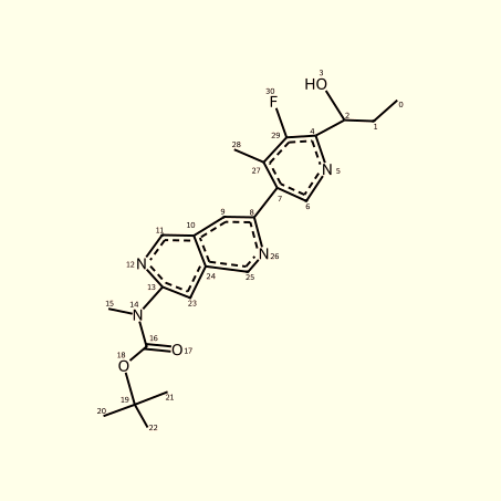 CCC(O)c1ncc(-c2cc3cnc(N(C)C(=O)OC(C)(C)C)cc3cn2)c(C)c1F